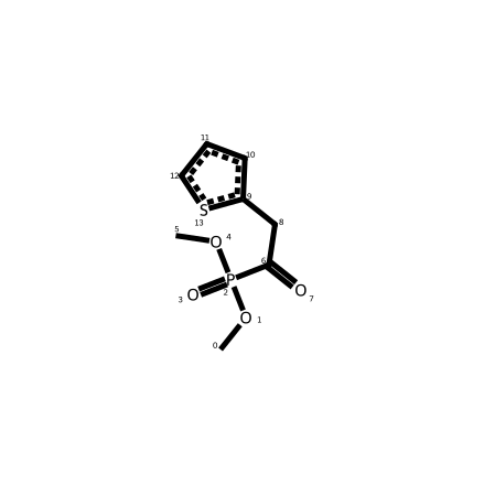 COP(=O)(OC)C(=O)Cc1cccs1